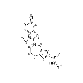 O=C(NO)c1cc2n(c1)CCCN(C(=O)C1(c3ccc(Cl)cc3)CC1)C2